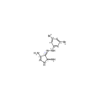 N=C1NN=C(N)/C1=N/Nc1cc(Br)cc(Br)c1